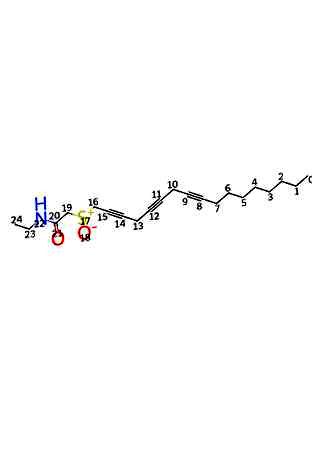 CCCCCCCCC#CCC#CCC#CC[S+]([O-])CC(=O)NCC